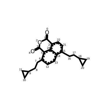 O=C1OC(=O)c2c(CCC3CC3)ccc3c(CCC4CC4)ccc1c23